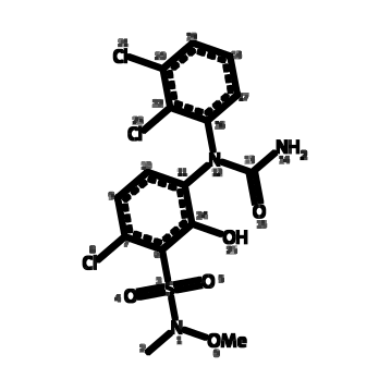 CON(C)S(=O)(=O)c1c(Cl)ccc(N(C(N)=O)c2cccc(Cl)c2Cl)c1O